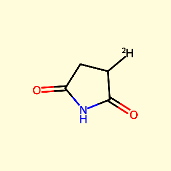 [2H]C1CC(=O)NC1=O